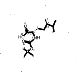 CC(C)[C@H](C)CC[C@H](NC(=O)OC(C)(C)C)C(=O)O